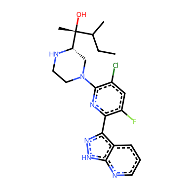 CCC(C)[C@@](C)(O)[C@@H]1CN(c2nc(-c3n[nH]c4ncccc34)c(F)cc2Cl)CCN1